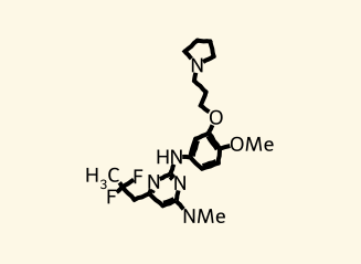 CNc1cc(CC(C)(F)F)nc(Nc2ccc(OC)c(OCCCN3CCCC3)c2)n1